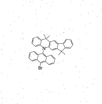 CC1(C)c2ccccc2-c2cc3c(cc21)N(c1c2ccccc2c(Br)c2ccccc12)c1ccccc1C3(C)C